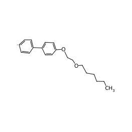 CCCCCCOCCOc1ccc(-c2cc[c]cc2)cc1